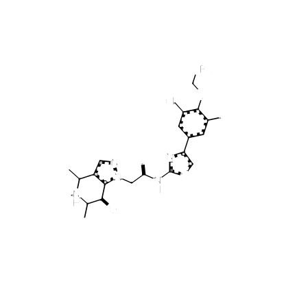 CC1C(=O)c2c(cnn2CC(=O)Nc2nc(-c3cc(F)c(OCC(C)(C)C)c(Cl)c3)cs2)C(C)[NH+]1[O-]